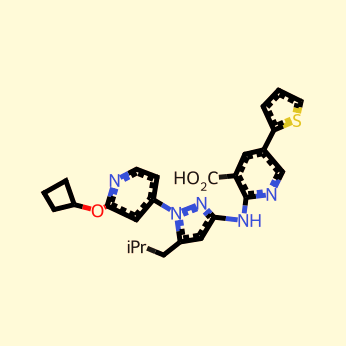 CC(C)Cc1cc(Nc2ncc(-c3cccs3)cc2C(=O)O)nn1-c1ccnc(OC2CCC2)c1